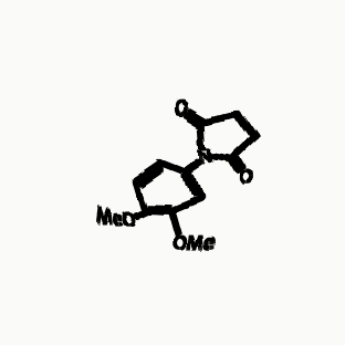 COc1ccc(N2C(=O)CCC2=O)cc1OC